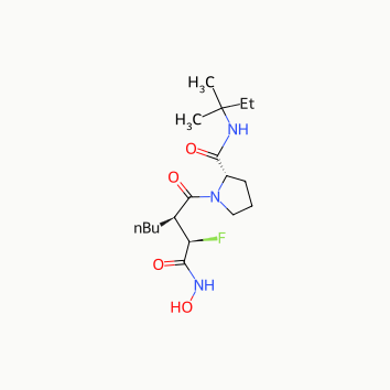 CCCC[C@@H](C(=O)N1CCC[C@H]1C(=O)NC(C)(C)CC)[C@@H](F)C(=O)NO